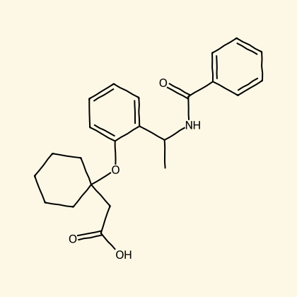 CC(NC(=O)c1ccccc1)c1ccccc1OC1(CC(=O)O)CCCCC1